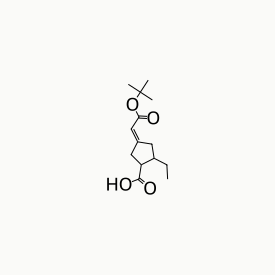 CCC1CC(=CC(=O)OC(C)(C)C)CC1C(=O)O